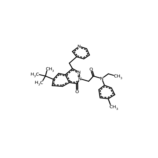 CCN(C(=O)Cn1nc(Cc2cccnc2)c2cc(C(C)(C)C)ccc2c1=O)c1ccc(C)cc1